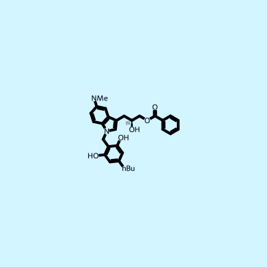 CCCCc1cc(O)c(Cn2cc(C[C@H](O)COC(=O)c3ccccc3)c3cc(NC)ccc32)c(O)c1